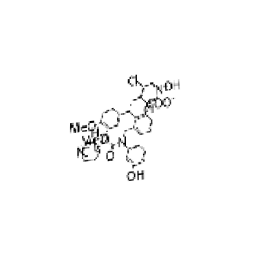 COc1ccc([C@H](Cc2c(Cl)c[n+](O)cc2Cl)c2c(CN(C(=O)O[C@H]3CN4CCC3CC4)c3cccc(O)c3)cccc2C(=O)[O-])cc1OC